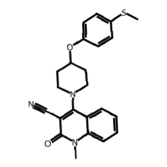 CSc1ccc(OC2CCN(c3c(C#N)c(=O)n(C)c4ccccc34)CC2)cc1